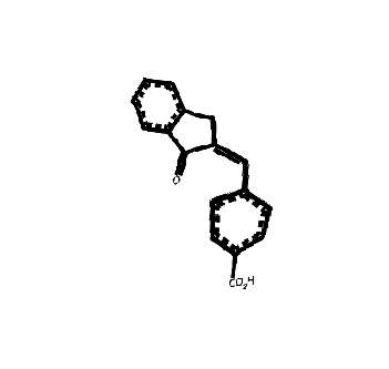 O=C(O)c1ccc(/C=C2/Cc3ccccc3C2=O)cc1